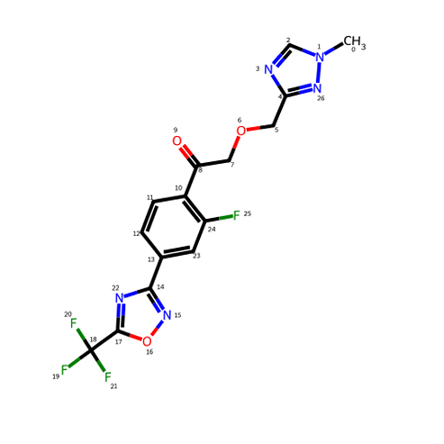 Cn1cnc(COCC(=O)c2ccc(-c3noc(C(F)(F)F)n3)cc2F)n1